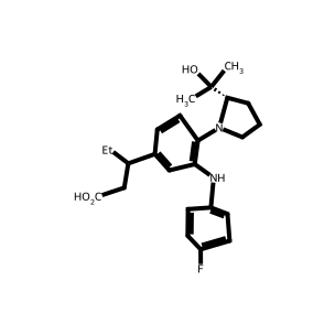 CCC(CC(=O)O)c1ccc(N2CCC[C@H]2C(C)(C)O)c(Nc2ccc(F)cc2)c1